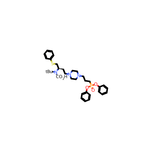 CC(C)(C)N(C(=O)O)[C@H](CCN1CCN(CCCP(=O)(Oc2ccccc2)Oc2ccccc2)CC1)CSc1ccccc1